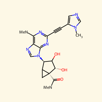 CNC(=O)[C@]12CC1[C@@H](n1cnc3c(NC)nc(C#Cc4cncn4C)nc31)C(O)[C@@H]2O